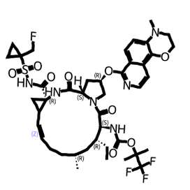 CC[C@@H]1C[C@H](C)CC/C=C\C2C[C@@]2(C(=O)NS(=O)(=O)C2(CF)CC2)NC(=O)[C@@H]2C[C@@H](Oc3nccc4c5c(ccc34)N(C)CCO5)CN2C(=O)[C@H]1NC(=O)OC(C)(C)C(F)(F)F